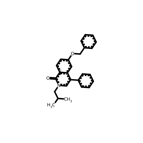 CC(C)Cn1[c]c(-c2ccccc2)c2cc(OCc3ccccc3)ccc2c1=O